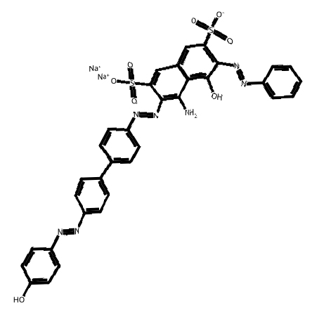 Nc1c(N=Nc2ccc(-c3ccc(N=Nc4ccc(O)cc4)cc3)cc2)c(S(=O)(=O)[O-])cc2cc(S(=O)(=O)[O-])c(N=Nc3ccccc3)c(O)c12.[Na+].[Na+]